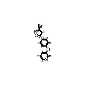 BrC1=NO[C@@H](c2ccc(Oc3cccnc3)cc2)C1